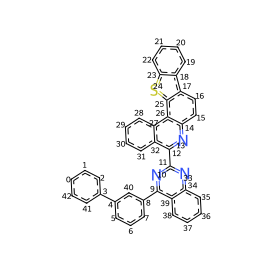 c1ccc(-c2cccc(-c3nc(-c4nc5ccc6c7ccccc7sc6c5c5ccccc45)nc4ccccc34)c2)cc1